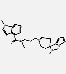 CN(CCCN1CCC(c2cccs2)(N(C)C)CC1)C(=O)c1cccc2c1ccn2C